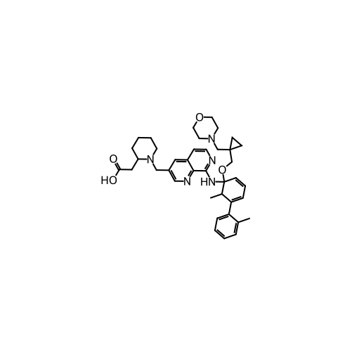 Cc1ccccc1C1=CC=CC(Nc2nccc3cc(CN4CCCCC4CC(=O)O)cnc23)(OCC2(CN3CCOCC3)CC2)C1C